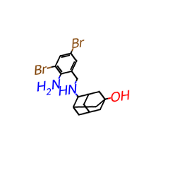 Nc1c(Br)cc(Br)cc1CNC1C2CC3CC1CC(O)(C3)C2